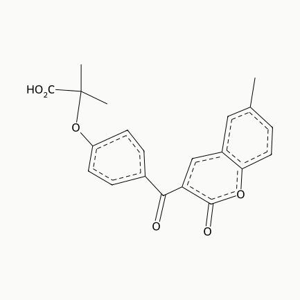 Cc1ccc2oc(=O)c(C(=O)c3ccc(OC(C)(C)C(=O)O)cc3)cc2c1